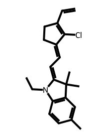 C=CC1=C(Cl)/C(=C/C=C2/N(CC)c3ccc(C)cc3C2(C)C)CC1